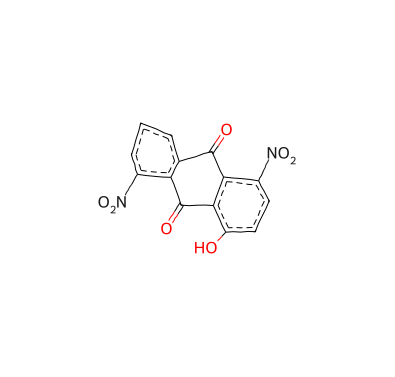 O=C1c2c(cccc2[N+](=O)[O-])C(=O)c2c([N+](=O)[O-])ccc(O)c21